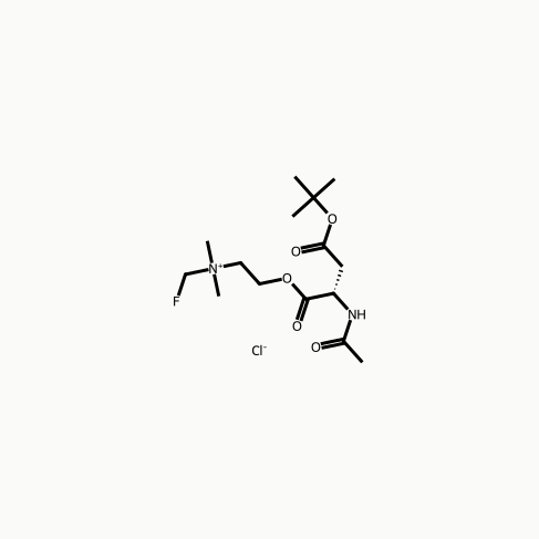 CC(=O)N[C@@H](CC(=O)OC(C)(C)C)C(=O)OCC[N+](C)(C)CF.[Cl-]